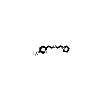 Cc1ccc(CCOCCN2CCCC2)nc1